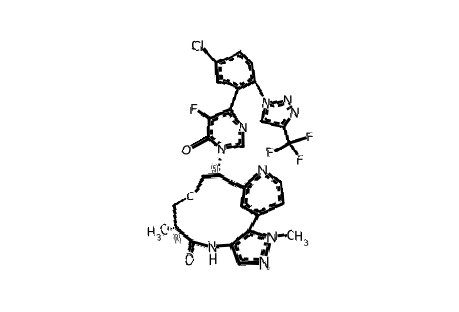 C[C@@H]1CCC[C@H](n2cnc(-c3cc(Cl)ccc3-n3cc(C(F)(F)F)nn3)c(F)c2=O)c2cc(ccn2)-c2c(cnn2C)NC1=O